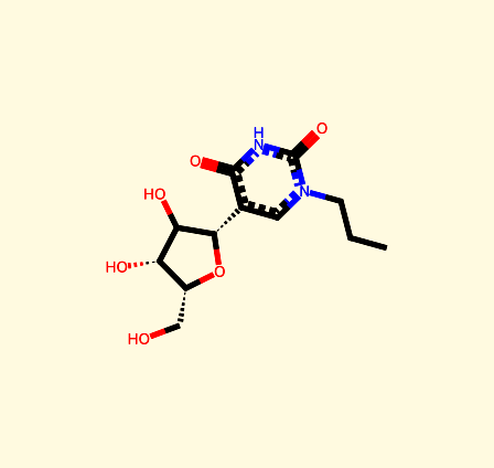 CCCn1cc([C@@H]2O[C@H](CO)[C@H](O)C2O)c(=O)[nH]c1=O